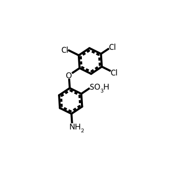 Nc1ccc(Oc2cc(Cl)c(Cl)cc2Cl)c(S(=O)(=O)O)c1